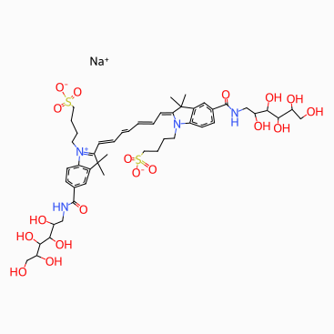 CC1(C)C(=CC=CC=CC=CC2=[N+](CCCCS(=O)(=O)[O-])c3ccc(C(=O)NCC(O)C(O)C(O)C(O)CO)cc3C2(C)C)N(CCCCS(=O)(=O)[O-])c2ccc(C(=O)NCC(O)C(O)C(O)C(O)CO)cc21.[Na+]